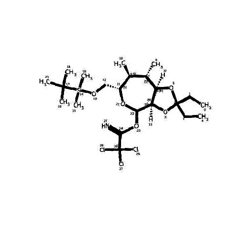 CCC1(CC)O[C@@H]2[C@@H](C)[C@H](C)[C@@H](CO[Si](C)(C)C(C)(C)C)OC(OC(=N)C(Cl)(Cl)Cl)[C@@H]2O1